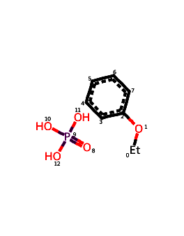 CCOc1ccccc1.O=P(O)(O)O